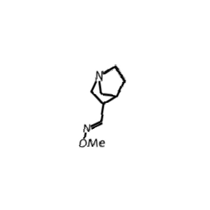 CON=CC1CN2CCC1C2